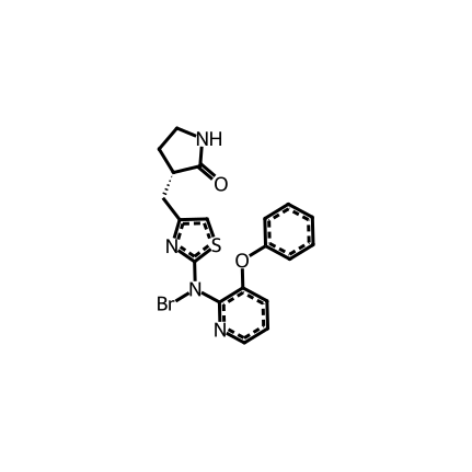 O=C1NCC[C@H]1Cc1csc(N(Br)c2ncccc2Oc2ccccc2)n1